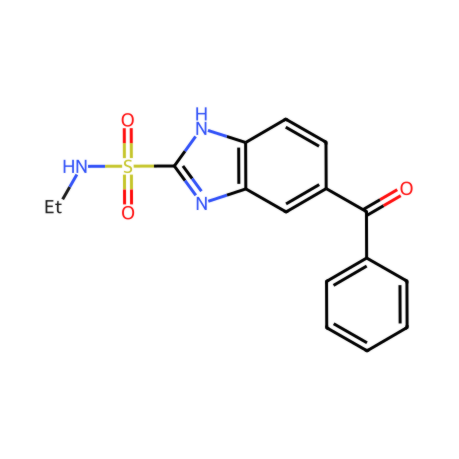 CCNS(=O)(=O)c1nc2cc(C(=O)c3ccccc3)ccc2[nH]1